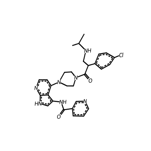 CC(C)NCC(C(=O)N1CCN(c2ccnc3[nH]cc(NC(=O)c4cccnc4)c23)CC1)c1ccc(Cl)cc1